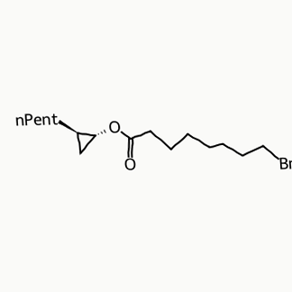 CCCCC[C@@H]1C[C@H]1OC(=O)CCCCCCCBr